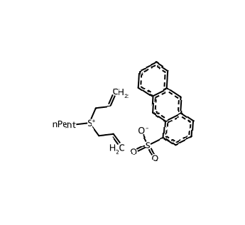 C=CC[S+](CC=C)CCCCC.O=S(=O)([O-])c1cccc2cc3ccccc3cc12